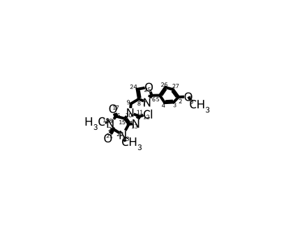 COc1ccc(-c2nc(Cn3c(Cl)nc4c3c(=O)n(C)c(=O)n4C)co2)cc1